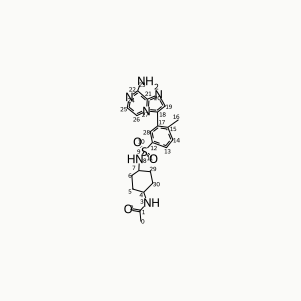 CC(=O)NC1CCC(NS(=O)(=O)c2ccc(C)c(-c3cnc4c(N)nccn34)c2)CC1